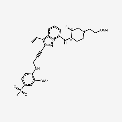 C=Cc1c(C#CCNc2ccc(S(C)(=O)=O)cc2OC)nn2c(N[C@@H]3CCN(CCOC)C[C@@H]3F)cccc12